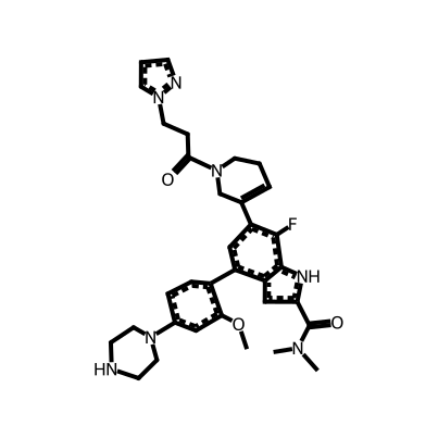 COc1cc(N2CCNCC2)ccc1-c1cc(C2=CCCN(C(=O)CCn3cccn3)C2)c(F)c2[nH]c(C(=O)N(C)C)cc12